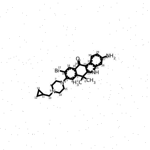 CC1(C)c2cc(N3CCN(CC4CC4)CC3)c(Br)cc2C(=O)c2c1[nH]c1cc(N)ccc21